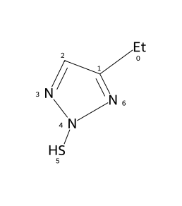 CCc1cnn(S)n1